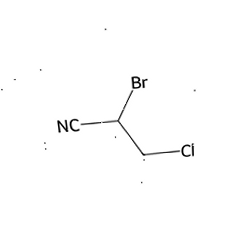 N#CC(Br)CCl